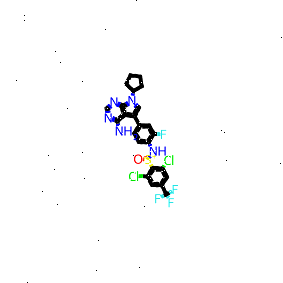 Nc1ncnc2c1c(-c1ccc(N[S+]([O-])c3c(Cl)cc(C(F)(F)F)cc3Cl)c(F)c1)cn2C1CCCC1